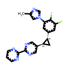 Cc1cn(-c2cc([C@@H]3C[C@H]3c3cnc(-c4ncccn4)nc3)cc(F)c2F)cn1